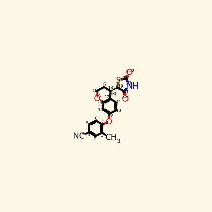 Cc1cc(C#N)ccc1Oc1ccc2c(c1)OCC[C@H]2C1SC(=O)NC1=O